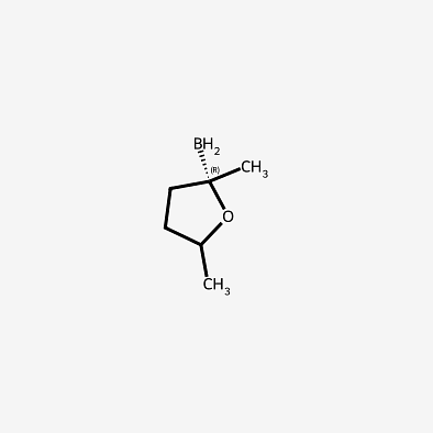 B[C@@]1(C)CCC(C)O1